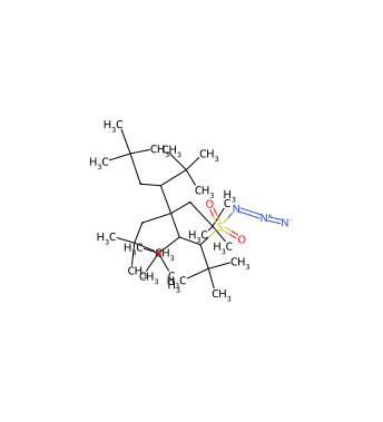 CC(C)(C)CC(C(C)(C)C)C(CC(C)(C)C)(CC(C)(C)C)C(C(C(C)(C)C)S(=O)(=O)N=[N+]=[N-])C(C)(C)C